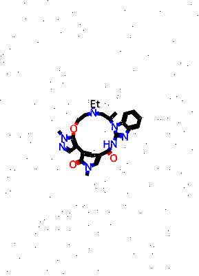 CCN1CCOc2c(cnn2C)-c2cc(cn(C)c2=O)C(=O)Nc2nc3ccccc3n2C(C)C1